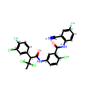 CC(Cl)(Cl)C(C(=O)Nc1ccc(Cl)c(C(=O)Nc2ccc(F)cc2C#N)c1)c1ccc(F)c(Cl)c1